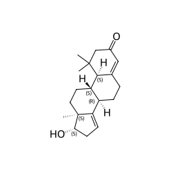 CC1(C)CC(=O)C=C2CC[C@H]3C4=CC[C@H](O)[C@@]4(C)CC[C@@H]3[C@H]21